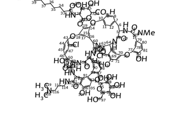 CN[C@H]1C(=O)NC2Cc3ccc(cc3)Oc3cc4cc(c3O[C@@H]3OC(C(=O)O)C(O)[C@H](O)C3NC(=O)CCCCCCCCC(C)C)Oc3ccc(cc3Cl)[C@@H](O)[C@@H]3NC(=O)[C@H](NC(=O)C4NC(=O)C(NC2=O)c2cc(cc(O)c2Cl)Oc2cc1ccc2O)c1ccc(O)c(c1)-c1c(OC2O[C@H](CO)C(O)[C@H](O)[C@@H]2O)cc(O)cc1C(C(=O)NCCCN(C)C)NC3=O